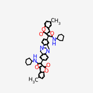 Cc1ccc2oc(=O)c3c(-c4ccc5c(c4)CN4CN5Cc5cc(-c6c(NC7CCCCC7)oc7c6c(=O)oc6ccc(C)cc67)ccc54)c(NC4CCCCC4)oc3c2c1